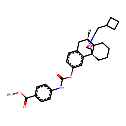 CC(C)(C)OC(=O)c1ccc(NC(=O)Oc2ccc3c(c2)[C@@]24CCCC[C@@]2(O)[C@@H](C3)N(CC2CCC2)CC4)cc1